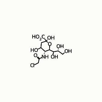 O=C(CCl)N[C@@H]1C(O)CC(O)(C(=O)O)OC1[C@H](O)[C@H](O)CO